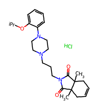 CC(C)Oc1ccccc1N1CCN(CCCN2C(=O)C3(C)CC=CCC3(C)C2=O)CC1.Cl